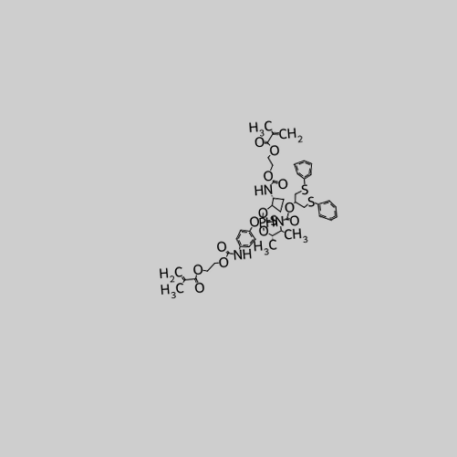 C=C(C)C(=O)OCCOC(=O)Nc1ccc(OP(=S)(OC2CC[C@H]2NC(=O)OCCOC(=O)C(=C)C)O[C@@H](C)C(C)NC(=O)OC(CSc2ccccc2)CSc2ccccc2)cc1